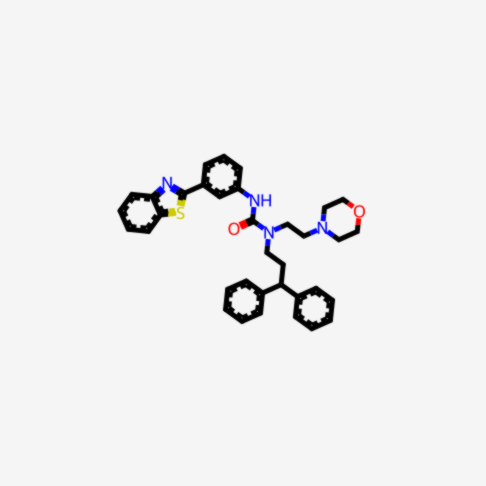 O=C(Nc1cccc(-c2nc3ccccc3s2)c1)N(CCC(c1ccccc1)c1ccccc1)CCN1CCOCC1